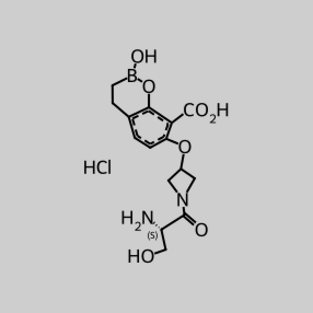 Cl.N[C@@H](CO)C(=O)N1CC(Oc2ccc3c(c2C(=O)O)OB(O)CC3)C1